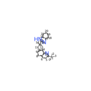 CC(C)(C)c1ccc2ccc(CC(C)(C)c3nc4ccccc4[nH]3)cc2n1